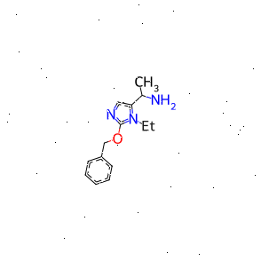 CCn1c(C(C)N)cnc1OCc1ccccc1